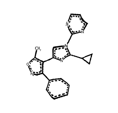 Cc1onc(-c2ccccc2)c1-c1cn(-c2ncccn2)c(C2CC2)n1